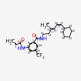 C=CC(=O)Nc1cc(C(=O)NCC/C(C)=C/C=C\C2CCCCC2)cc(C(F)(F)F)c1